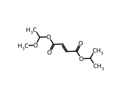 COC(C)OC(=O)/C=C/C(=O)OC(C)C